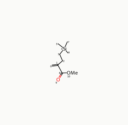 C=C(CC[Si](C)(C)C)C(=O)OC